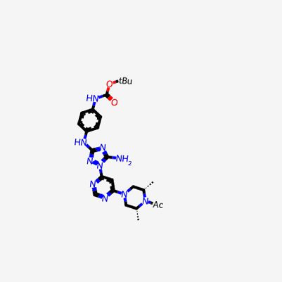 CC(=O)N1[C@H](C)CN(c2cc(-n3nc(Nc4ccc(NC(=O)OC(C)(C)C)cc4)nc3N)ncn2)C[C@@H]1C